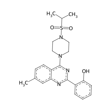 Cc1ccc2c(N3CCN(S(=O)(=O)C(C)C)CC3)nc(-c3ccccc3O)nc2c1